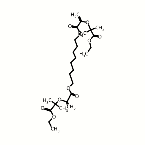 C=C(OC(C)(C)C(=O)OCC)C(=O)OCCCCCCCCOC(=O)C(=C)OC(C)(C)C(=O)OCC